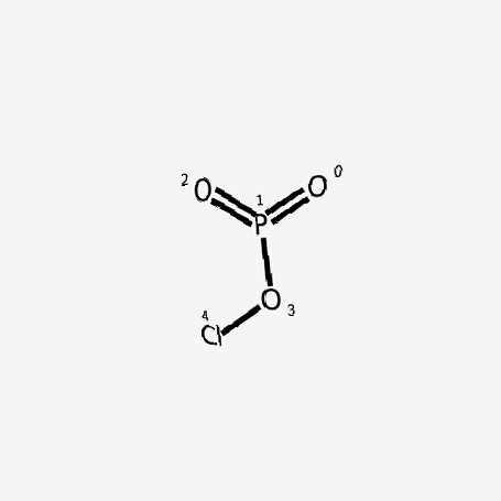 O=P(=O)OCl